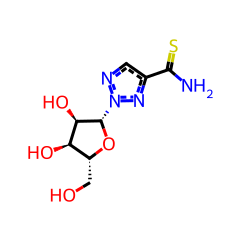 NC(=S)c1cnn([C@@H]2O[C@H](CO)[C@@H](O)[C@H]2O)n1